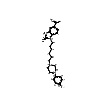 CC(=O)c1ccc2c(c1)oc(=O)n2CCCCCCN1CCN(c2ccc(F)cc2)CC1